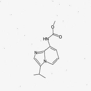 COC(=O)Nc1cccn2c(C(C)C)cnc12